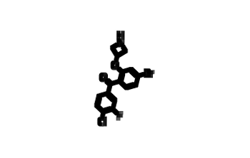 O=C(c1ccc(Cl)c(F)c1)c1ccc(Br)cc1OC1CNC1